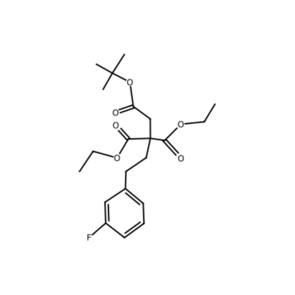 CCOC(=O)C(CCc1cccc(F)c1)(CC(=O)OC(C)(C)C)C(=O)OCC